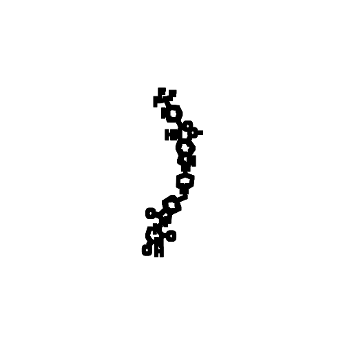 COc1cc2nn(C3CCN(Cc4ccc5c(c4)CN(N4CCC(=O)NC4=O)C5=O)CC3)cc2cc1NC(=O)c1ccc(C(F)(F)F)nc1